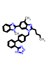 CCCCc1nc2c(C)cc(-c3nc4ccccc4n3C)cc2n1Cc1ccc(-c2ccccc2-c2nnn[nH]2)cc1